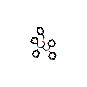 c1ccc(COCC(CP(c2ccccc2)c2ccccc2)P(c2ccccc2)c2ccccc2)cc1